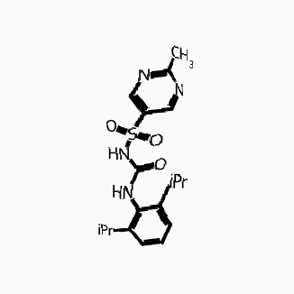 Cc1ncc(S(=O)(=O)NC(=O)Nc2c(C(C)C)cccc2C(C)C)cn1